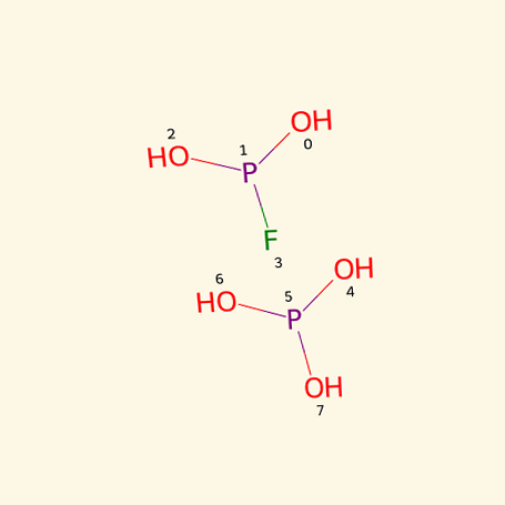 OP(O)F.OP(O)O